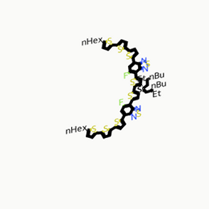 CCCCCCc1ccc(-c2ccc(-c3ccc(-c4cc(F)c(-c5cc6c(s5)-c5sc(-c7c(F)cc(-c8ccc(-c9ccc(-c%10ccc(CCCCCC)s%10)s9)s8)c8nsnc78)cc5[Si]6(CC(CC)CCCC)CC(CC)CCCC)c5nsnc45)s3)s2)s1